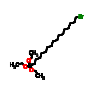 CCO[Si](CCCCCCCCCCCCCCCCBr)(OCC)OCC